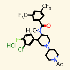 CC(=O)N1CCC(N2CCC(N(C)C(=O)c3cc(C(F)(F)F)cc(C(F)(F)F)c3)C(c3ccc(F)c(Cl)c3)C2)CC1.Cl